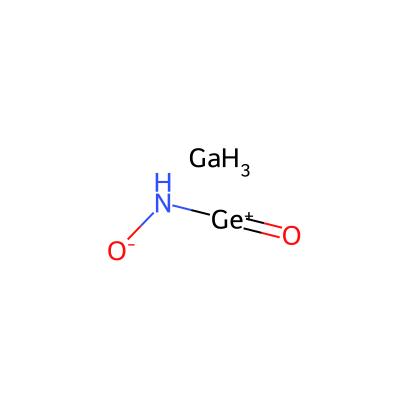 [GaH3].[O]=[Ge+][NH][O-]